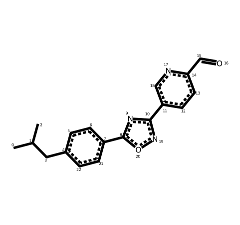 CC(C)Cc1ccc(-c2nc(-c3ccc(C=O)nc3)no2)cc1